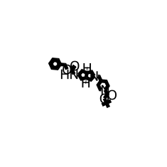 CC(C)(C)OC(=O)N1CCC(CN2C[C@H]3CC(NC(=O)OCc4ccccc4)C[C@H]3C2)CC1